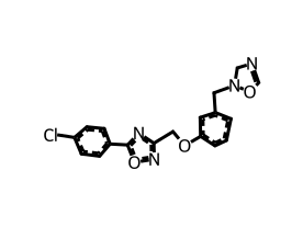 Clc1ccc(-c2nc(COc3cccc(CN4CN=CO4)c3)no2)cc1